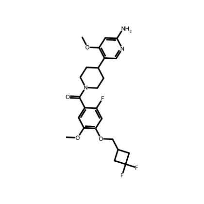 COc1cc(C(=O)N2CCC(c3cnc(N)cc3OC)CC2)c(F)cc1OCC1CC(F)(F)C1